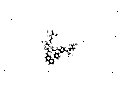 N=C(N)NCCC[C@H](NC(=O)[C@H](Cc1ccc2ccccc2c1)NC(=O)[C@H](Cc1ccc(C(=N)N)cc1)c1cccnc1)C(N)=O.O=C(O)C(F)(F)F